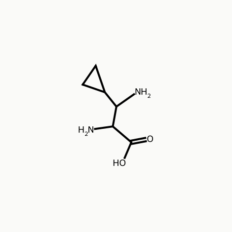 NC(C(=O)O)C(N)C1CC1